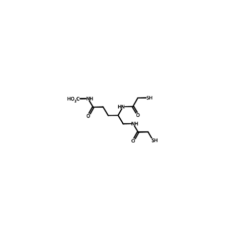 O=C(O)NC(=O)CCC(CNC(=O)CS)NC(=O)CS